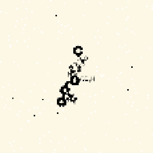 CCOc1nc2c(Cc3ccc(-c4ccccc4)c(-c4nnn[nH]4)c3)ccc(C(=O)O)c2n1CCOC(=O)OC1CCCCC1